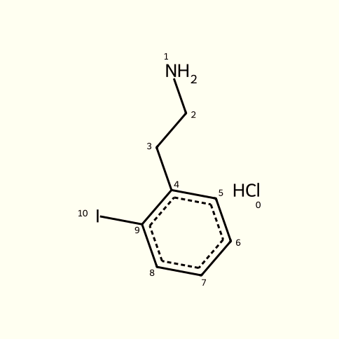 Cl.NCCc1ccccc1I